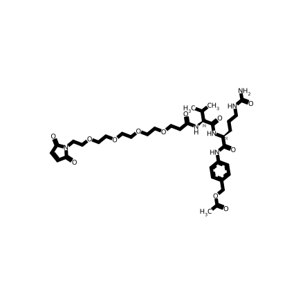 CC(=O)OCc1ccc(NC(=O)[C@H](CCCNC(N)=O)NC(=O)[C@@H](NC(=O)CCOCCOCCOCCOCCN2C(=O)C=CC2=O)C(C)C)cc1